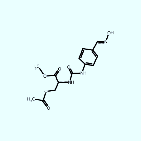 COC(=O)C(COC(C)=O)NC(=O)Nc1ccc(C=NO)cc1